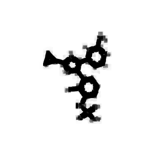 CCCS(=O)(=O)Nc1cccc(-c2nc(C3CC3)oc2-c2ccnc(N)n2)c1F